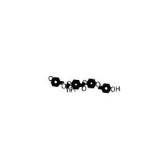 CCCC(OCC1CCC2OC2C1)Oc1ccc(C(=O)Oc2ccc(OCC3CCC(O)CC3)cc2)cc1